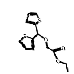 CCOC(=O)COC(c1cccs1)c1cccs1